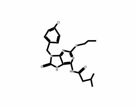 CCCSc1nc(NC(=O)CC(C)C)c2[nH]c(=O)n(Cc3ccc(Cl)cc3)c2n1